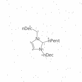 CCCCCCCCCCCN1C=CN(CCCCCCCCCC)C1CCCCC